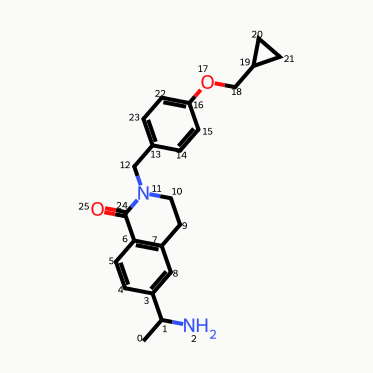 CC(N)c1ccc2c(c1)CCN(Cc1ccc(OCC3CC3)cc1)C2=O